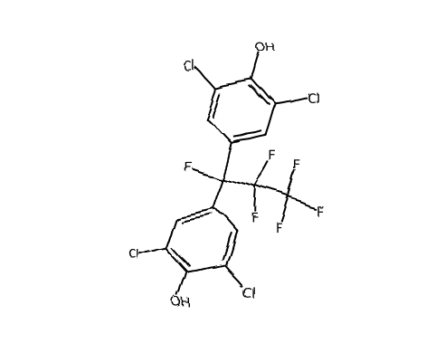 Oc1c(Cl)cc(C(F)(c2cc(Cl)c(O)c(Cl)c2)C(F)(F)C(F)(F)F)cc1Cl